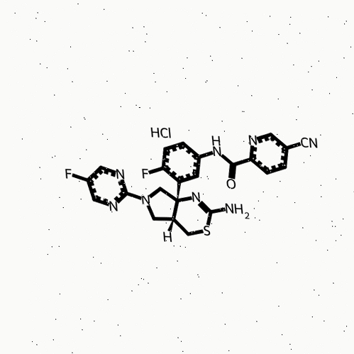 Cl.N#Cc1ccc(C(=O)Nc2ccc(F)c([C@]34CN(c5ncc(F)cn5)C[C@H]3CSC(N)=N4)c2)nc1